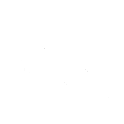 CCC(N)NC(C)CC[Si](OC)(OC)OC